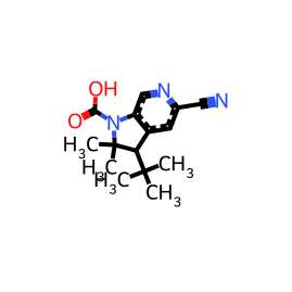 CC(C)(C)C1c2cc(C#N)ncc2N(C(=O)O)C1(C)C